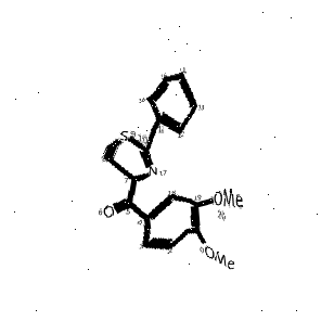 COc1ccc(C(=O)C2CSC(c3ccccc3)=N2)cc1OC